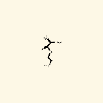 C=C(CCCCCCC)C(=O)OCCCCCCCCCCC